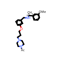 COc1cccc([C@@H](C)NCc2cccc(OCCCN3CCN(C(C)=O)CC3)c2)c1